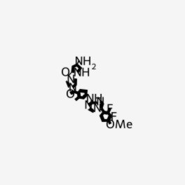 COc1ccc(-c2cnc3c(Nc4ccc(C(=O)N5CCN(C(=O)[C@@H]6C[C@@H](N)CN6)CC5)c(C)c4)nccn23)c(F)c1F